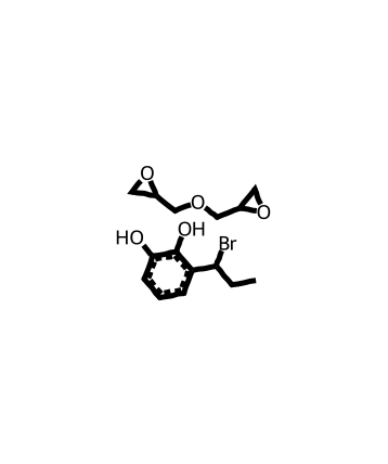 C(OCC1CO1)C1CO1.CCC(Br)c1cccc(O)c1O